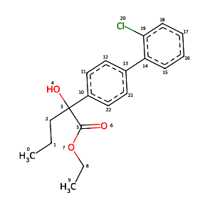 CCCC(O)(C(=O)OCC)c1ccc(-c2ccccc2Cl)cc1